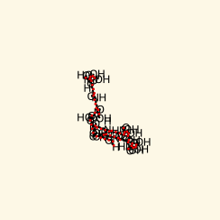 CC/C=C\OCCN(CCOP(=O)(O)OCCN(CCOP(=O)(O)OCCN(CCO)C(=O)CCCCCNC(=O)CCCCCOC1OC(CO)C(O)C(O)C1NC(C)=O)C(=O)CCCCCNC(=O)CCCCCOC1OC(CO)C(O)C(O)C1NC(C)=O)C(=O)CCCCCNC(=O)CCCCCOC1OC(CO)C(O)C(O)C1NC(C)=O